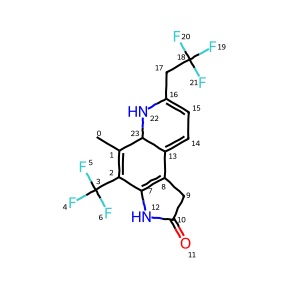 CC1=C(C(F)(F)F)C2=C(CC(=O)N2)C2=CC=C(CC(F)(F)F)NC21